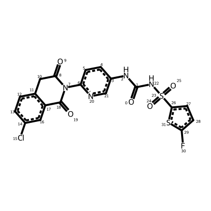 O=C(Nc1ccc(N2C(=O)Cc3ccc(Cl)cc3C2=O)nc1)NS(=O)(=O)c1ccc(F)s1